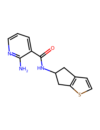 Nc1ncccc1C(=O)NC1Cc2ccsc2C1